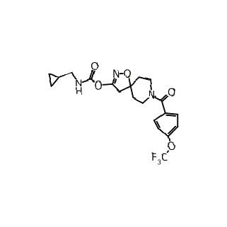 O=C(NCC1CC1)OC1=NOC2(CCN(C(=O)c3ccc(OC(F)(F)F)cc3)CC2)C1